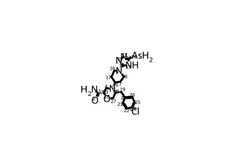 NC(=O)[C@@H]1CN(C2CCN(c3nnc([AsH2])[nH]3)CC2)[C@@H](Cc2ccc(Cl)cc2)CO1